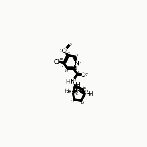 COc1cnc(C(=O)N[C@@H]2C[C@H]3CC[C@@H]2N3)cc1Cl